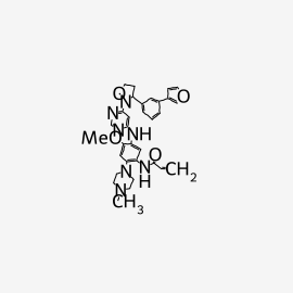 C=CC(=O)Nc1cc(Nc2cc(N3OCCC3c3cccc(-c4ccoc4)c3)ncn2)c(OC)cc1N1CCN(C)CC1